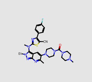 CCn1nc2nc(C)c(N3CCN(C(=O)N4CCN(C)CC4)CC3)cc2c1N(C)c1nc(-c2ccc(F)cc2)c(C#N)s1